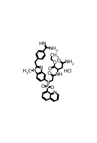 CCOC(=O)C(CC(N)=O)NC(=O)CN(c1ccc2c(c1)nc(Cc1ccc(C(=N)N)cc1)n2C)S(=O)(=O)c1cccc2cccnc12.Cl